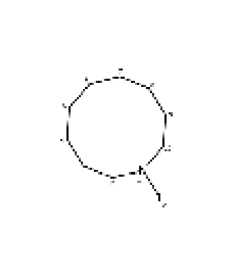 IN1CCCCCCCCC1